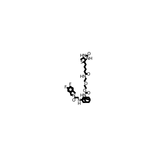 O=C(CCCCC1SCC2NC(=O)NC21)NCCOCCOC(=O)NC12CC3CC(CC(NCC(=O)N4Cc5cc(F)c(F)cc5C4)(C3)C1)C2